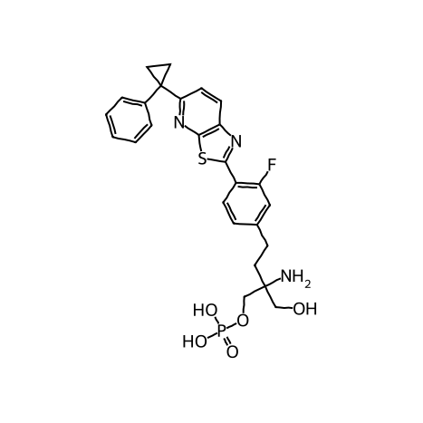 NC(CO)(CCc1ccc(-c2nc3ccc(C4(c5ccccc5)CC4)nc3s2)c(F)c1)COP(=O)(O)O